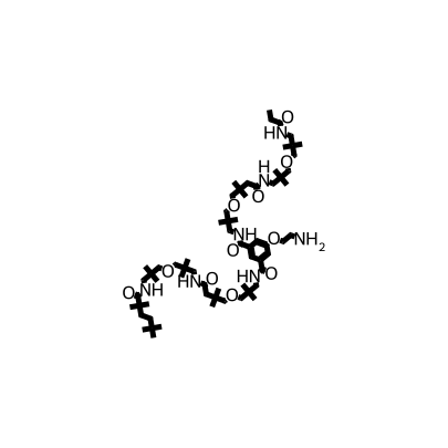 CCC(=O)NCC(C)(C)COCC(C)(C)CNC(=O)CC(C)(C)COCC(C)(C)CNC(=O)c1cc(OCCN)cc(C(=O)NCC(C)(C)COCC(C)(C)CC(=O)NCC(C)(C)COCC(C)(C)CNC(=O)C(C)(C)CCC(C)(C)C)c1